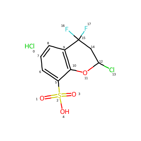 Cl.O=S(=O)(O)c1cccc2c1OC(Cl)CC2(F)F